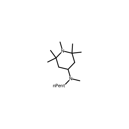 CCCCCN(C)C1CC(C)(C)N(C)C(C)(C)C1